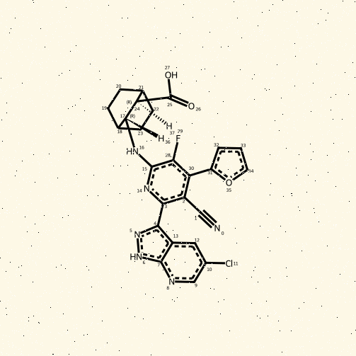 N#Cc1c(-c2n[nH]c3ncc(Cl)cc23)nc(N[C@@H]2C3CCC(CC3)[C@H]2C(=O)O)c(F)c1-c1ccco1